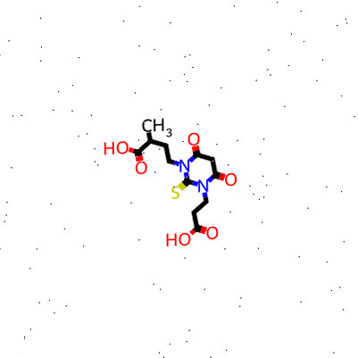 CC(CCN1C(=O)CC(=O)N(CCC(=O)O)C1=S)C(=O)O